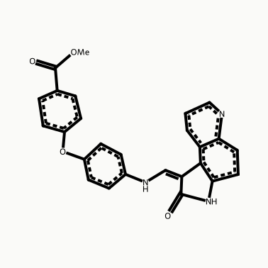 COC(=O)c1ccc(Oc2ccc(NC=C3C(=O)Nc4ccc5ncccc5c43)cc2)cc1